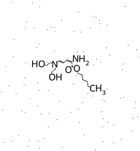 CCCCCCOC(=O)/C(N)=C\C=C\N(CCO)CCO